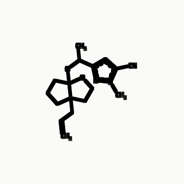 C=CCC12CCCC1(OC(C)c1cc(C#N)n(C)n1)OCC2